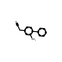 N#CCc1ccc(-c2ccccc2)c(N)c1